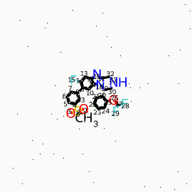 CS(=O)(=O)c1cccc(-c2cc3c(cc2F)nc2n3[C@@H](c3ccccc3OC(F)F)CNC2)c1